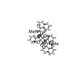 CNC(OC(=O)C(O)(C(=O)c1ccccc1)C(O)(C(=O)OC(NC)C1OCCc2cccc(F)c21)C(=O)c1ccccc1)C1OCCc2cccc(F)c21